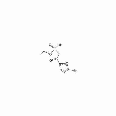 CCOP(=O)(O)CC(=O)c1ccc(Br)o1